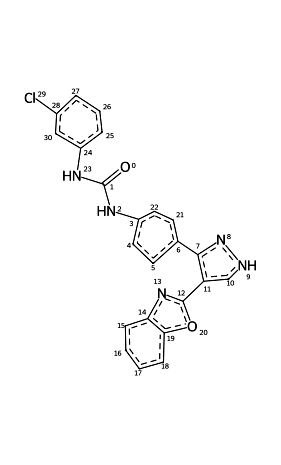 O=C(Nc1ccc(-c2n[nH]cc2-c2nc3ccccc3o2)cc1)Nc1cccc(Cl)c1